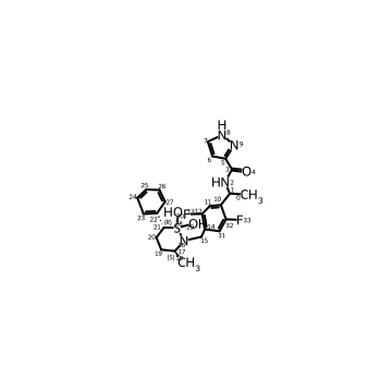 CC(NC(=O)c1cc[nH]n1)c1cc(F)c(CN2[C@@H](C)CC[C@H](c3ccccc3)S2(O)O)cc1F